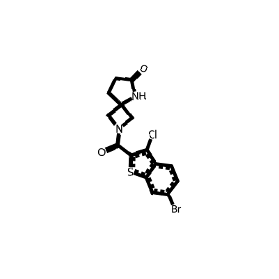 O=C1CCC2(CN(C(=O)c3sc4cc(Br)ccc4c3Cl)C2)N1